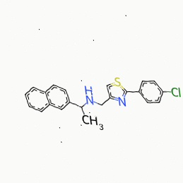 CC(NCc1csc(-c2ccc(Cl)cc2)n1)c1ccc2ccccc2c1